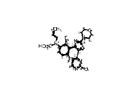 C=CCN(C(=O)O)c1ccc(F)c(-c2nc(N3CCOCC3)sc2-c2ccnc(Cl)n2)c1F